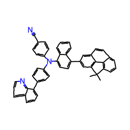 CC1(C)c2cccc3ccc4cc(-c5ccc(N(c6ccc(C#N)cc6)c6ccc(-c7cccc8cccnc78)cc6)c6ccccc56)cc1c4c23